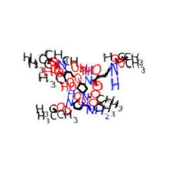 CN(C(=O)OC(C)(C)C)[C@@H]1[C@@H](O)[C@@H](O[C@@H]2[C@@H](O)[C@H](O[C@H]3OC(CN)=CC[C@H]3NC(=O)OC(C)(C)C)[C@@H](NC(=O)OC(C)(C)C)C[C@H]2NC(=O)C(O)CCNC(=O)OC(C)(C)C)OC[C@]1(C)O